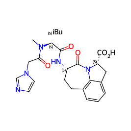 CC[C@H](C)[C@@H](C(=O)N[C@H]1CCc2cccc3c2N(C1=O)[C@H](C(=O)O)C3)N(C)C(=O)Cn1ccnc1